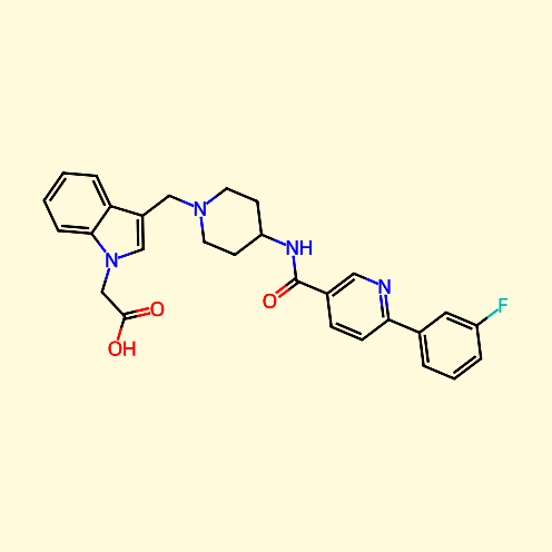 O=C(O)Cn1cc(CN2CCC(NC(=O)c3ccc(-c4cccc(F)c4)nc3)CC2)c2ccccc21